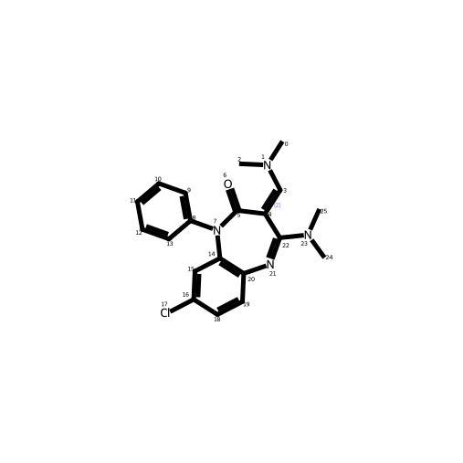 CN(C)/C=C1\C(=O)N(c2ccccc2)c2cc(Cl)ccc2N=C1N(C)C